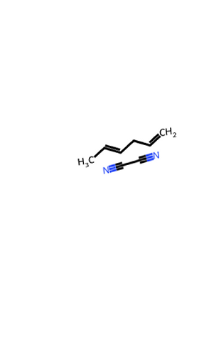 C=CCC=CC.N#CC#N